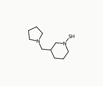 SN1CCCC(CN2CCCC2)C1